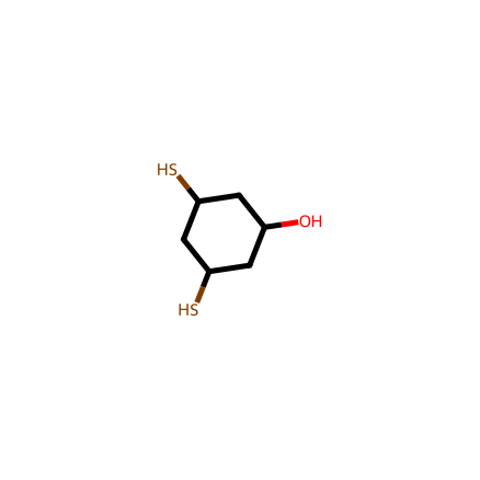 OC1CC(S)CC(S)C1